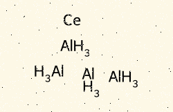 [AlH3].[AlH3].[AlH3].[AlH3].[Ce]